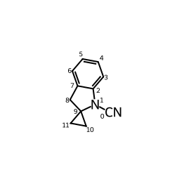 N#CN1c2ccccc2CC12CC2